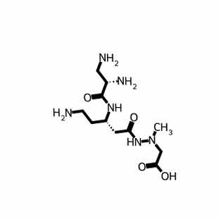 CN(CC(=O)O)NC(=O)C[C@H](CCN)NC(=O)[C@@H](N)CN